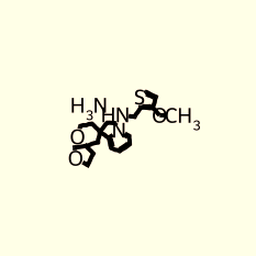 COc1ccsc1CNCCC1(c2ccccn2)CCOC2(CCOC2)C1.N